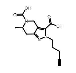 C#CCCCn1nc2c(c1C(=O)O)CN(C(=O)O)[C@H](C)C2